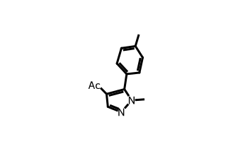 CC(=O)c1cnn(C)c1-c1ccc(C)cc1